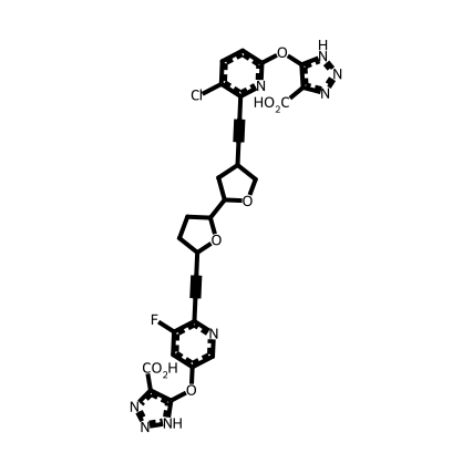 O=C(O)c1nn[nH]c1Oc1cnc(C#CC2CCC(C3CC(C#Cc4nc(Oc5[nH]nnc5C(=O)O)ccc4Cl)CO3)O2)c(F)c1